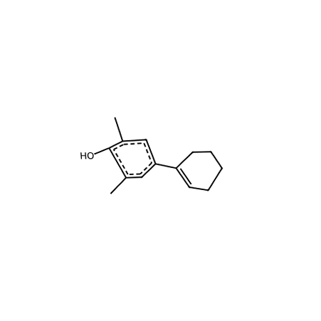 Cc1cc(C2=CCCCC2)cc(C)c1O